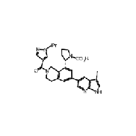 Cc1c[nH]c2ncc(-c3cc4c(c([C@@H]5CCCN5C(=O)O)c3)CN(C(=O)c3cnn(C(C)C)c3)CC4)cc12